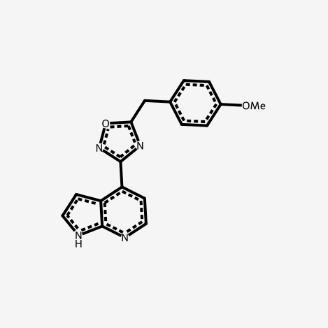 COc1ccc(Cc2nc(-c3ccnc4[nH]ccc34)no2)cc1